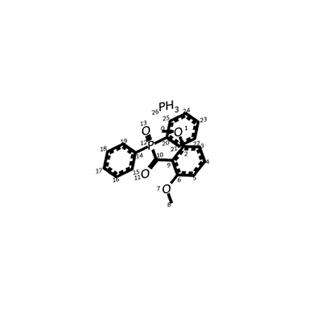 COc1cccc(OC)c1C(=O)P(=O)(c1ccccc1)c1ccccc1.P